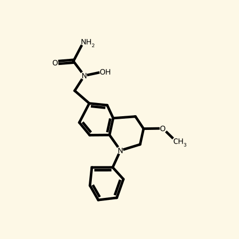 COC1Cc2cc(CN(O)C(N)=O)ccc2N(c2ccccc2)C1